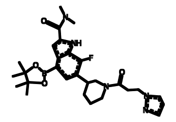 CN(C)C(=O)c1cc2c(B3OC(C)(C)C(C)(C)O3)cc(C3CCCN(C(=O)CCn4cccn4)C3)c(F)c2[nH]1